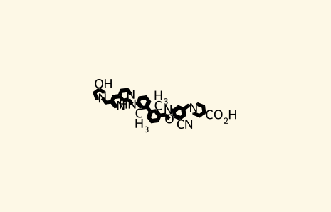 Cc1c(Nc2nccc3cc(CN4CCC(O)C4)cnc23)cccc1-c1cccc(-c2nc3cc(CN4CCC(C(=O)O)CC4)cc(C#N)c3o2)c1C